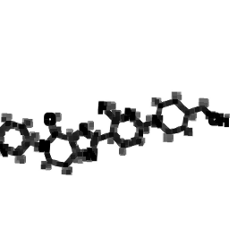 O=C1c2sc(-c3ccc(N4CCC(CO)CC4)nc3F)nc2CCN1c1cccnc1